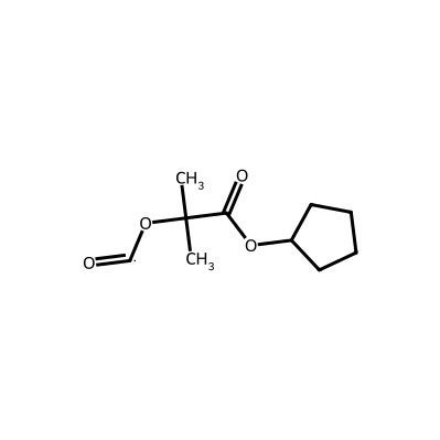 CC(C)(O[C]=O)C(=O)OC1CCCC1